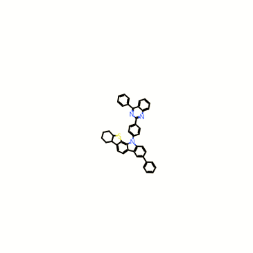 c1ccc(-c2ccc3c(c2)c2ccc4c(c2n3-c2ccc(-c3nc(-c5ccccc5)c5ccccc5n3)cc2)SC2CCCCC42)cc1